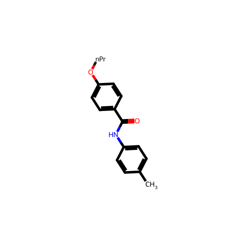 CCCOc1ccc(C(=O)Nc2ccc(C)cc2)cc1